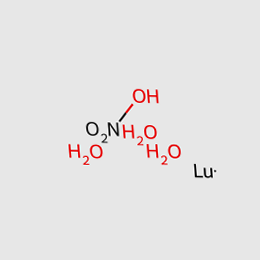 O.O.O.O=[N+]([O-])O.[Lu]